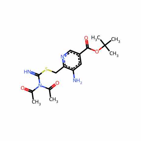 CC(=O)N(C(=N)SCc1ncc(C(=O)OC(C)(C)C)cc1N)C(C)=O